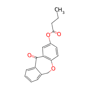 CCCC(=O)Oc1ccc2c(c1)C(=O)c1ccccc1CO2